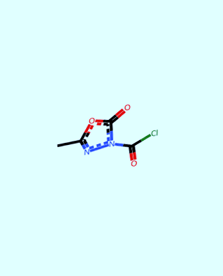 Cc1nn(C(=O)Cl)c(=O)o1